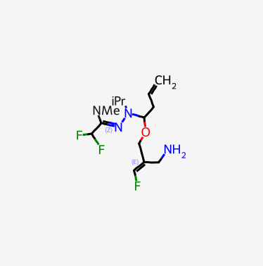 C=CCC(OC/C(=C/F)CN)N(/N=C(\NC)C(F)F)C(C)C